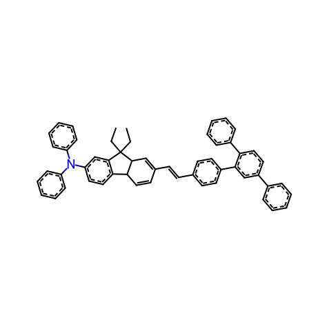 CCC1(CC)c2cc(N(c3ccccc3)c3ccccc3)ccc2C2C=CC(/C=C/c3ccc(-c4cc(-c5ccccc5)ccc4-c4ccccc4)cc3)=CC21